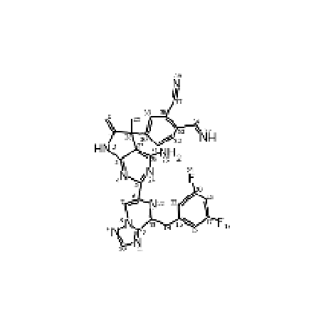 C=C1Nc2nc(-c3cn4ncnc4c(Cc4cc(F)cc(F)c4)n3)nc(N)c2C1(C)c1ccc(C=N)c(C#N)c1